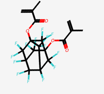 C=C(C)C(=O)OC12C(F)(F)C3(F)C(F)(F)C(F)(C1(F)F)C(F)(F)C(OC(=O)C(=C)C)(C3(F)F)C2(F)F